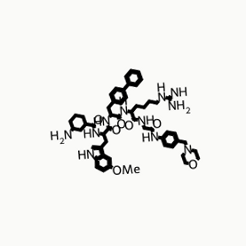 COc1ccc2[nH]cc(CC(NC(=O)C3CCCC(N)C3)C(=O)NC(Cc3ccc(-c4ccccc4)cc3)C(=O)NC(CCCCNC(=N)N)C(=O)NCC(=O)Nc3ccc(CN4CCOCC4)cc3)c2c1